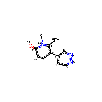 CCc1c(-c2ccnnc2)ccc(=O)n1C